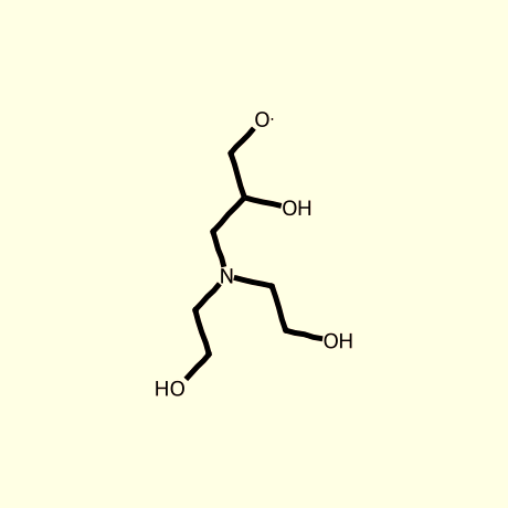 [O]CC(O)CN(CCO)CCO